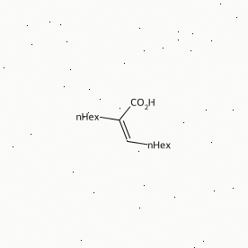 CCCCCCC=C(CCCCCC)C(=O)O